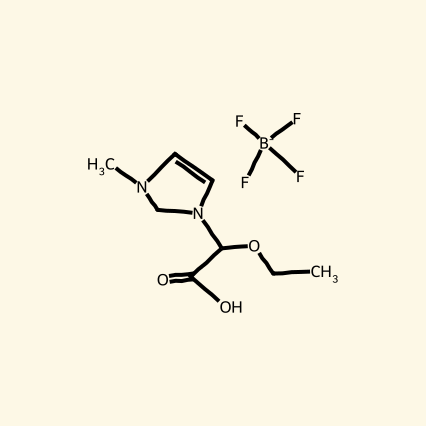 CCOC(C(=O)O)N1C=CN(C)C1.F[B-](F)(F)F